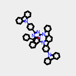 c1ccc(-c2ccc(-n3c4ccc(-n5c6ccccc6c6ccccc65)cc4c4ccc5c6ccccc6n(-c6nc(-c7ccccc7)nc(-c7ccc(-n8c9ccccc9c9ccccc98)cc7)n6)c5c43)cc2)cc1